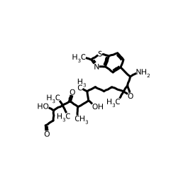 Cc1nc2cc(C(N)C3OC3(C)CCCC(C)C(O)C(C)C(=O)C(C)(C)C(O)CC=O)ccc2s1